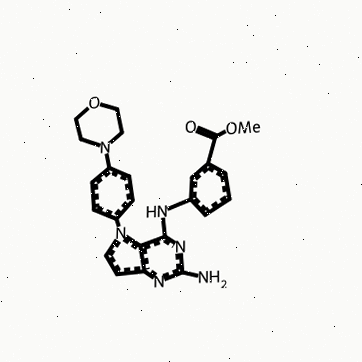 COC(=O)c1cccc(Nc2nc(N)nc3ccn(-c4ccc(N5CCOCC5)cc4)c23)c1